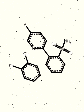 NS(=O)(=O)c1ccccc1-c1ccc(F)cn1.Oc1ccccc1Cl